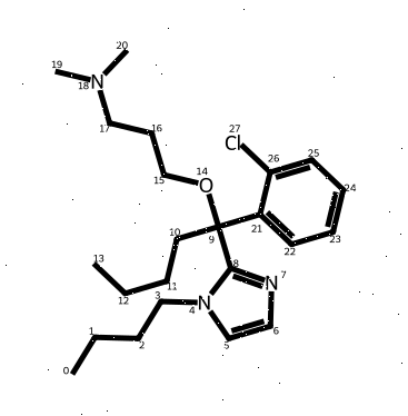 CCCCn1ccnc1C(CCCC)(OCCCN(C)C)c1ccccc1Cl